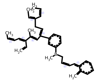 C=CC(=C\C=C/C)/C(C)=C/C(=C\CC(/C=C\C)=C/C)c1cccc(B(C)C/C=C\C=c2\ccccc2=C)c1